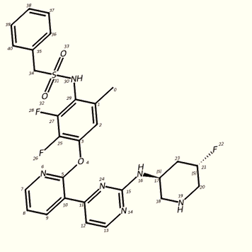 Cc1cc(Oc2ncccc2-c2ccnc(N[C@@H]3CNC[C@@H](F)C3)n2)c(F)c(F)c1NS(=O)(=O)Cc1ccccc1